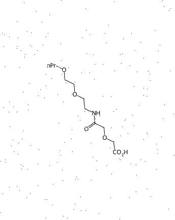 CCCOCCOCCNC(=O)COCC(=O)O